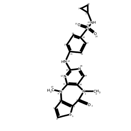 CN1C(=O)c2sccc2N(C)c2nc(Nc3ccc(S(=O)(=O)NC4CC4)cc3)ncc21